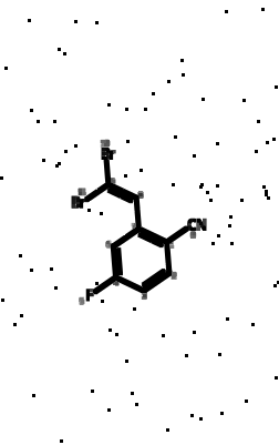 N#Cc1ccc(F)cc1C=C(Br)Br